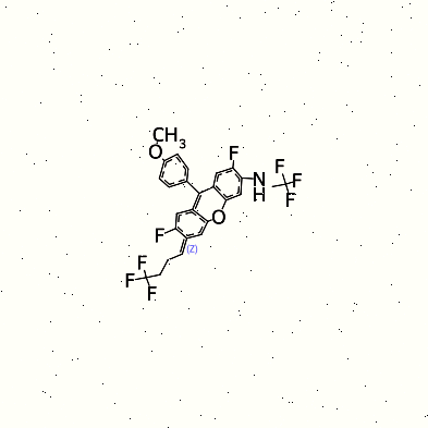 COc1ccc(C2=c3cc(F)/c(=C\CCC(F)(F)F)cc3Oc3cc(NCC(F)(F)F)c(F)cc32)cc1